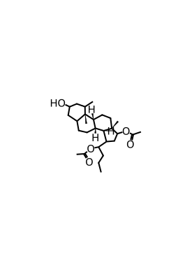 CCCC(OC(C)=O)C1CC(OC(C)=O)[C@@]2(C)CC[C@@H]3[C@@H](CCC4CC(O)CC(C)[C@@]43C)[C@H]12